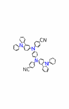 N#Cc1ccc(N(c2ccc(N(c3ccc(C#N)cc3)c3ccc4c(c3)c3ccccc3n4-c3ccccc3)cc2)c2ccc3c(c2)C2C=CC=CC2N3C2=CC=CCC2)cc1